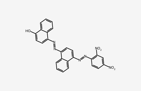 O=[N+]([O-])c1ccc(N=Nc2ccc(N=Nc3ccc(O)c4ccccc34)c3ccccc23)c([N+](=O)[O-])c1